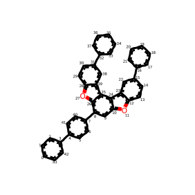 c1ccc(-c2ccc(-c3cc4oc5ccc(-c6ccccc6)cc5c4c4c3oc3ccc(-c5ccccc5)cc34)cc2)cc1